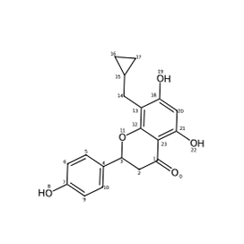 O=C1CC(c2ccc(O)cc2)Oc2c(CC3CC3)c(O)cc(O)c21